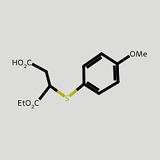 CCOC(=O)C(CC(=O)O)Sc1ccc(OC)cc1